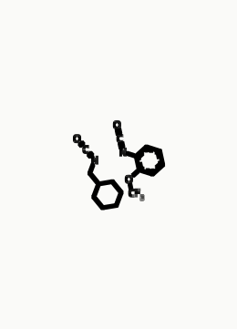 O=C=NCC1CCCCC1.O=C=Nc1ccccc1OC(F)(F)F